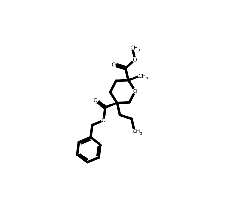 CCCC1(C(=O)OCc2ccccc2)CCC(C)(C(=O)OC)OC1